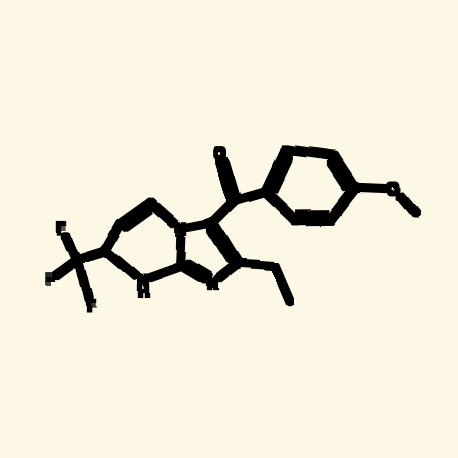 CCc1nc2n(c1C(=O)c1ccc(OC)cc1)C=CC(C(F)(F)F)N2